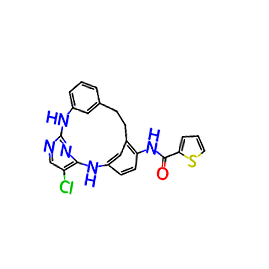 O=C(Nc1ccc2cc1CCc1cccc(c1)Nc1ncc(Cl)c(n1)N2)c1cccs1